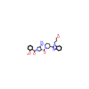 COCCCn1c(C2CCCN(C(=O)[C@@H]3CN(C(=O)c4ccccc4OC)C[C@H]3N)C2)nc2ccccc21